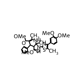 COC(=O)C1=C(C)NC(C)(Nc2nc(-c3ccc(OC)c(OC)c3)c(C)s2)C(C(=O)OC)C1c1ccccc1